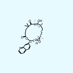 C[C@H]1CCC[C@@]2(C)O[C@H]2C[C@@H](c2ccc3cccnc3c2)OC(=O)CCC(C)(C)C(=O)[C@H](C)[C@H]1O